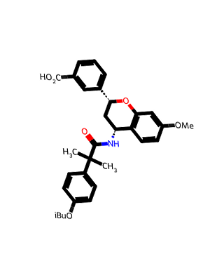 COc1ccc2c(c1)O[C@@H](c1cccc(C(=O)O)c1)C[C@H]2NC(=O)C(C)(C)c1ccc(OCC(C)C)cc1